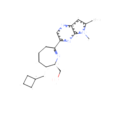 Cn1c(C(C)(C)C)cc2ncc(C3=N[C@@H](CO)[C@H](CC4CCC4)CCC3)nc21